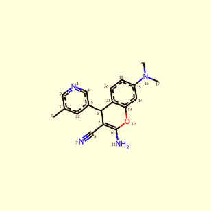 Cc1cncc(C2C(C#N)=C(N)Oc3cc(N(C)C)ccc32)c1